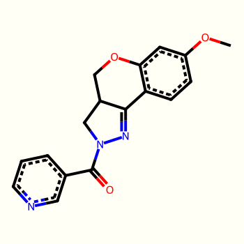 COc1ccc2c(c1)OCC1CN(C(=O)c3cccnc3)N=C21